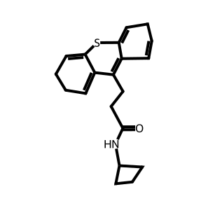 O=C(CCC1=C2C=CCC=C2SC2=CCCC=C21)NC1CCC1